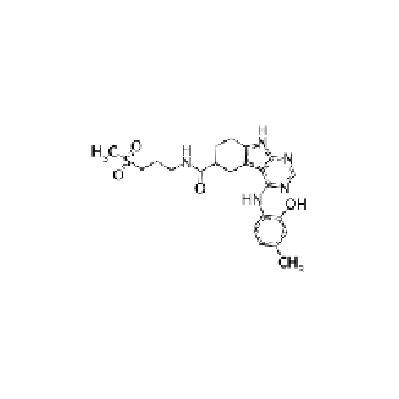 Cc1ccc(Nc2ncnc3[nH]c4c(c23)CC(C(=O)NCCCS(C)(=O)=O)CC4)c(O)c1